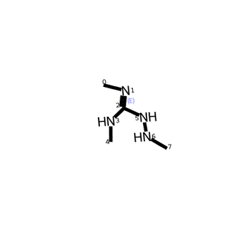 C/N=C(\NC)NNC